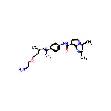 CCC(/C=C(\N)c1ccc(NC(=O)c2ccn3c(C)cc(C)nc23)cc1)CCOCCN